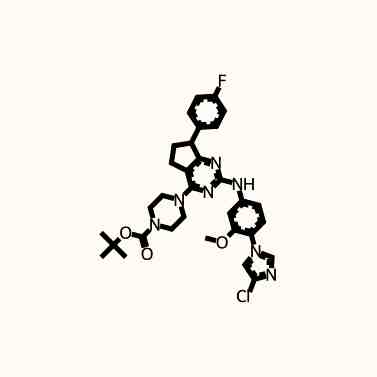 COc1cc(Nc2nc3c(c(N4CCN(C(=O)OC(C)(C)C)CC4)n2)CCC3c2ccc(F)cc2)ccc1-n1cnc(Cl)c1